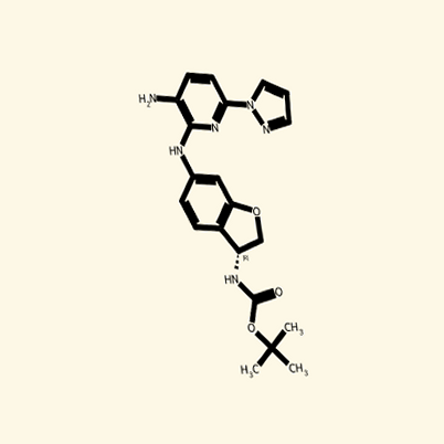 CC(C)(C)OC(=O)N[C@H]1COc2cc(Nc3nc(-n4cccn4)ccc3N)ccc21